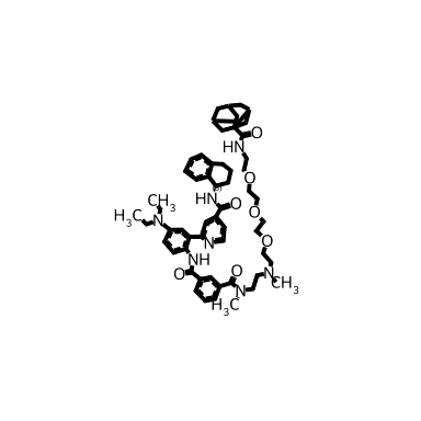 CCN(CC)c1ccc(NC(=O)c2cccc(C(=O)N(C)CCN(C)CCOCCOCCOCCNC(=O)C34CC5CC(CC(C5)C3)C4)c2)c(-c2cc(C(=O)N[C@H]3CCCc4ccccc43)ccn2)c1